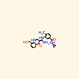 Cc1ccc(C(=O)NC2CC2)cc1N/C(N)=C(\C=N)C(=O)C1C=C(CO)C=CC1